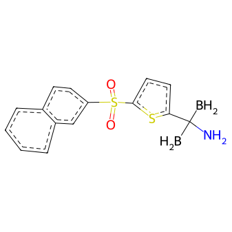 BC(B)(N)c1ccc(S(=O)(=O)c2ccc3ccccc3c2)s1